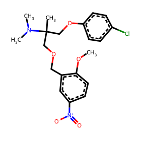 COc1ccc([N+](=O)[O-])cc1COCC(C)(COc1ccc(Cl)cc1)N(C)C